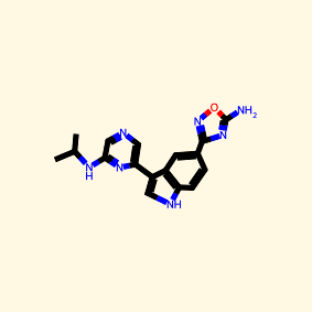 CC(C)Nc1cncc(-c2c[nH]c3ccc(-c4noc(N)n4)cc23)n1